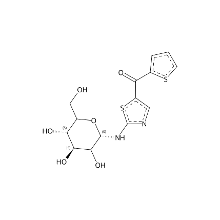 O=C(c1cccs1)c1cnc(N[C@H]2OC(CO)[C@@H](O)[C@H](O)C2O)s1